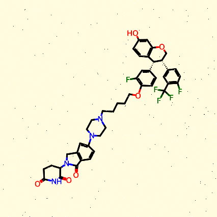 O=C1CCC(N2Cc3cc(N4CCN(CCCCCOc5ccc([C@@H]6c7ccc(O)cc7OC[C@@H]6c6ccc(F)c(C(F)(F)F)c6)cc5F)CC4)ccc3C2=O)C(=O)N1